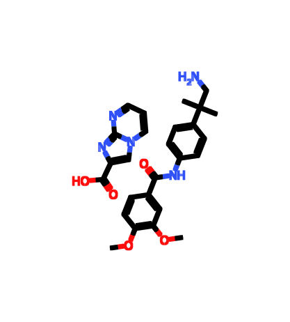 COc1ccc(C(=O)Nc2ccc(C(C)(C)CN)cc2)cc1OC.O=C(O)c1cn2cccnc2n1